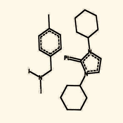 Cc1ccc(CN(I)I)cc1.[Pt]=[c]1n(C2CCCCC2)ccn1C1CCCCC1